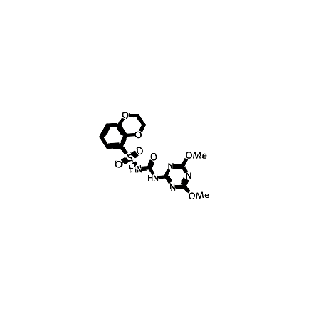 COc1nc(NC(=O)NS(=O)(=O)c2cccc3c2OCCO3)nc(OC)n1